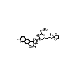 CCC1(CCCCC[C@H](NC(=O)OC(C)(C)C)c2nnc(-c3cc4ccc(C)nc4cc3OC)o2)OCCO1